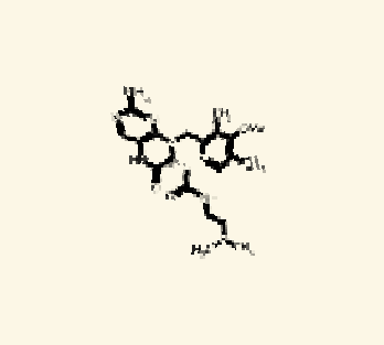 COc1c(C)cnc(CN2c3nc(N)ncc3NC(=O)[C@H]2CC(=O)NCCN(C)C)c1C